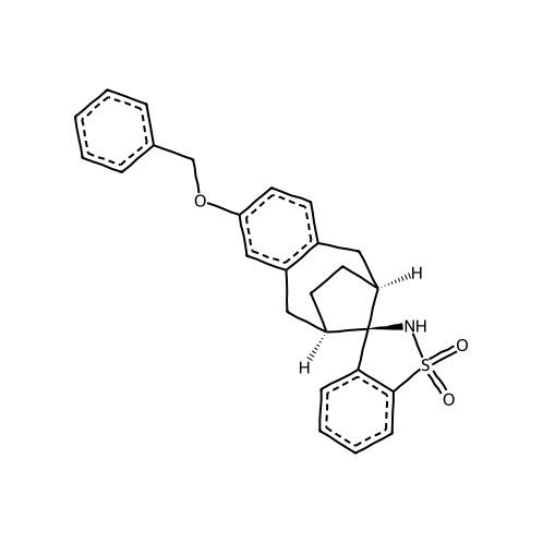 O=S1(=O)N[C@@]2(c3ccccc31)[C@@H]1CC[C@H]2Cc2ccc(OCc3ccccc3)cc2C1